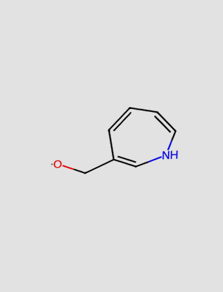 [O]CC1=CNC=CC=C1